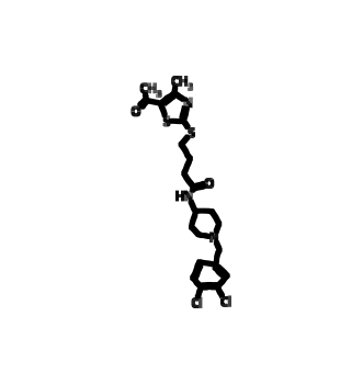 CC(=O)c1sc(SCCCC(=O)NC2CCN(Cc3ccc(Cl)c(Cl)c3)CC2)nc1C